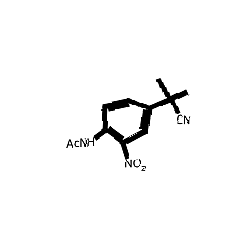 CC(=O)Nc1ccc(C(C)(C)C#N)cc1[N+](=O)[O-]